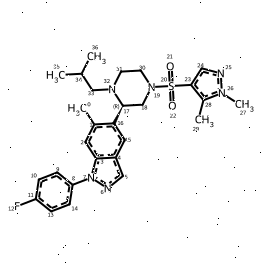 Cc1cc2c(cnn2-c2ccc(F)cc2)cc1[C@@H]1CN(S(=O)(=O)c2cnn(C)c2C)CCN1CC(C)C